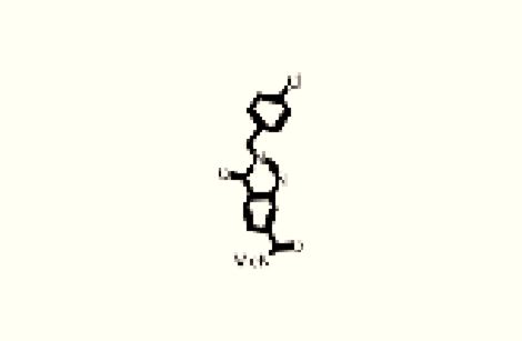 CNC(=O)c1ccc2c(=O)n(Cc3ccc(Cl)cc3)cnc2c1